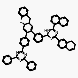 C1=Cc2ccc(C3=NC(c4cccc(C5=CC6Cc7ccccc7OC6C=C5c5ccc(-c6nc(-c7ccccc7)nc(-c7ccccc7)n6)cc5)c4)NC(c4cccc5ccccc45)=N3)cc2CC1